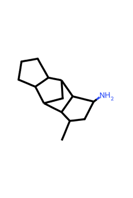 CC1CC(N)C2C3CC(C4CCCC43)C12